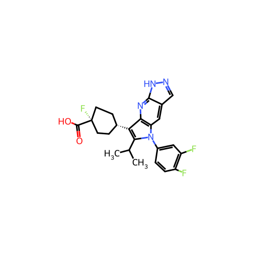 CC(C)c1c([C@H]2CC[C@](F)(C(=O)O)CC2)c2nc3[nH]ncc3cc2n1-c1ccc(F)c(F)c1